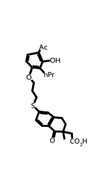 CCCc1c(OCCCSc2ccc3c(c2)CCC(C)(CC(=O)O)C3=O)ccc(C(C)=O)c1O